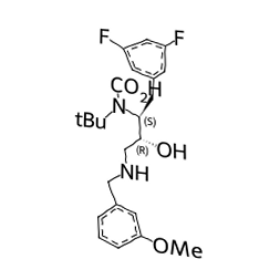 COc1cccc(CNC[C@@H](O)[C@H](Cc2cc(F)cc(F)c2)N(C(=O)O)C(C)(C)C)c1